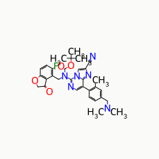 Cc1cc(CN(C)C)ccc1-c1cnc(N(Cc2c(F)ccc3c2C(=O)CO3)C(=O)OC(C)(C)C)n2cc(C#N)nc12